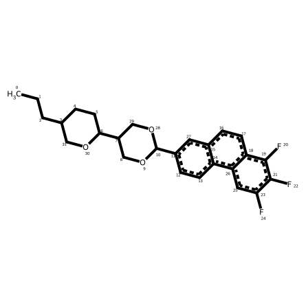 CCCC1CCC(C2COC(c3ccc4c(ccc5c(F)c(F)c(F)cc54)c3)OC2)OC1